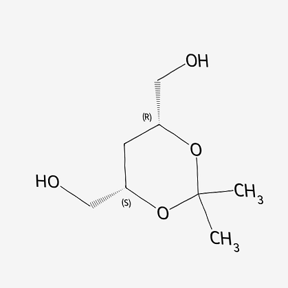 CC1(C)O[C@H](CO)C[C@H](CO)O1